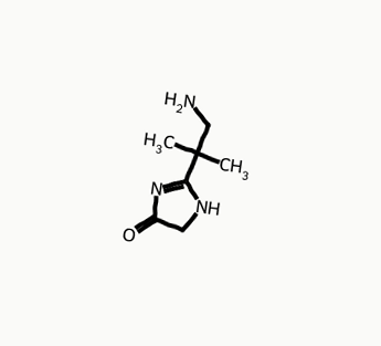 CC(C)(CN)C1=NC(=O)CN1